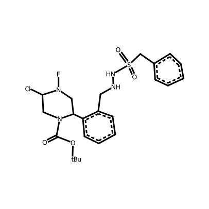 CC(C)(C)OC(=O)N1CC(Cl)N(F)CC1c1ccccc1CNNS(=O)(=O)Cc1ccccc1